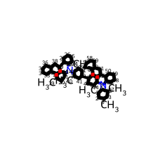 Cc1ccc(N(c2ccc(-c3ccc(N(c4ccc(C)cc4)c4c(C)cccc4-c4ccc5ccccc5c4)c(C)c3)cc2C)c2c(C)cccc2-c2ccc3ccccc3c2)cc1